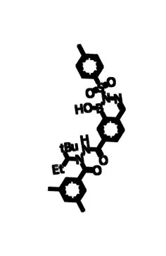 CCC(N(NC(=O)c1ccc2c(c1)B(O)N(S(=O)(=O)c1ccc(C)cc1)N=C2)C(=O)c1cc(C)cc(C)c1)C(C)(C)C